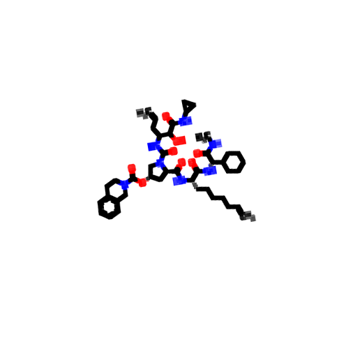 C=CCCCCC[C@H](NC(=O)[C@H]1C[C@H](OC(=O)N2CCc3ccccc3C2)CN1C(=O)NC(CC=C)C(O)C(=O)NC1CC1)C(=O)N[C@H](C(=O)NC)C1CCCCC1